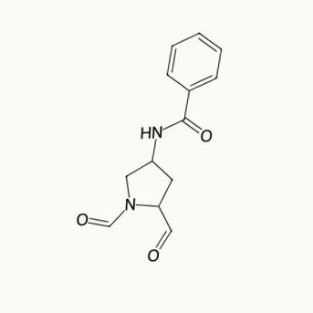 O=CC1CC(NC(=O)c2ccccc2)CN1C=O